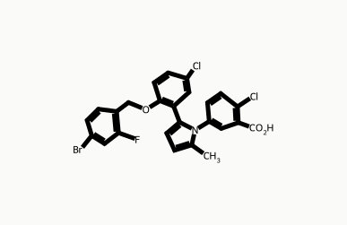 Cc1ccc(-c2cc(Cl)ccc2OCc2ccc(Br)cc2F)n1-c1ccc(Cl)c(C(=O)O)c1